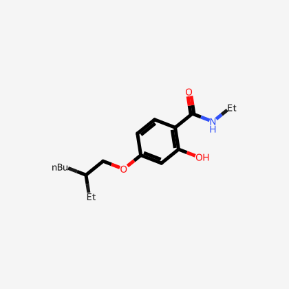 CCCCC(CC)COc1ccc(C(=O)NCC)c(O)c1